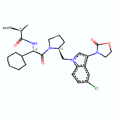 CN[C@@H](C)C(=O)N[C@H](C(=O)N1CCC[C@H]1Cn1cc(N2CCOC2=O)c2cc(Cl)ccc21)C1CCCCC1